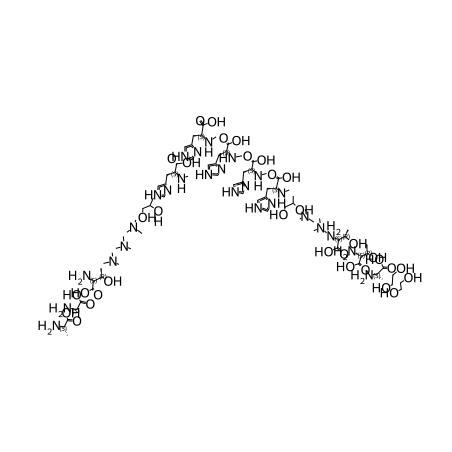 CC(O)CO.CC(O)CO.CN(C)C.CN(C)C.CN(C)C.CN(C)C.CN(C)C.CN[C@@H](Cc1c[nH]cn1)C(=O)O.CN[C@@H](Cc1c[nH]cn1)C(=O)O.CN[C@@H](Cc1c[nH]cn1)C(=O)O.CN[C@@H](Cc1c[nH]cn1)C(=O)O.CN[C@@H](Cc1c[nH]cn1)C(=O)O.C[C@@H](O)[C@H](N)C(=O)O.C[C@@H](O)[C@H](N)C(=O)O.C[C@@H](O)[C@H](N)C(=O)O.C[C@H](N)C(=O)O.C[C@H](N)C(=O)O.C[C@H](N)C(=O)O.OCCO.OCCO